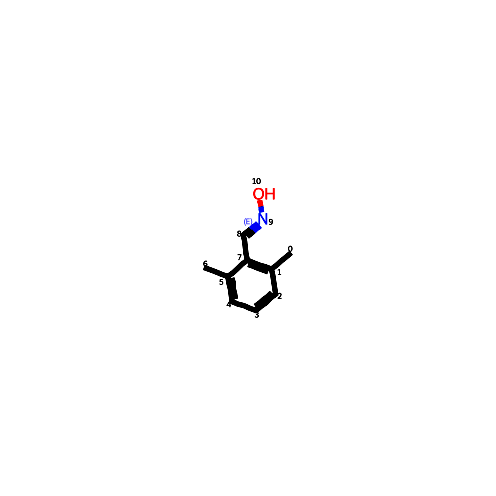 Cc1cccc(C)c1/C=N/O